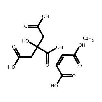 O=C(O)/C=C\C(=O)O.O=C(O)CC(O)(CC(=O)O)C(=O)O.[CaH2]